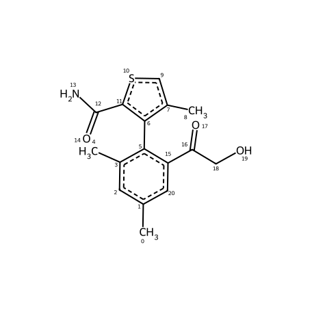 Cc1cc(C)c(-c2c(C)csc2C(N)=O)c(C(=O)CO)c1